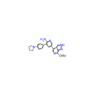 COc1ncc(-c2cnc(N)c(-c3ccc(N4CCCC4)cc3)c2)c2c[nH]nc12